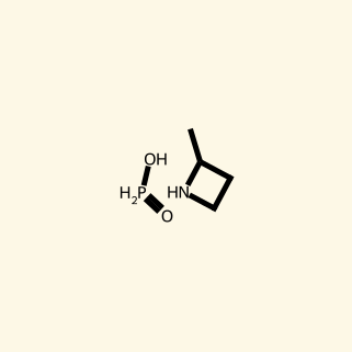 CC1CCN1.O=[PH2]O